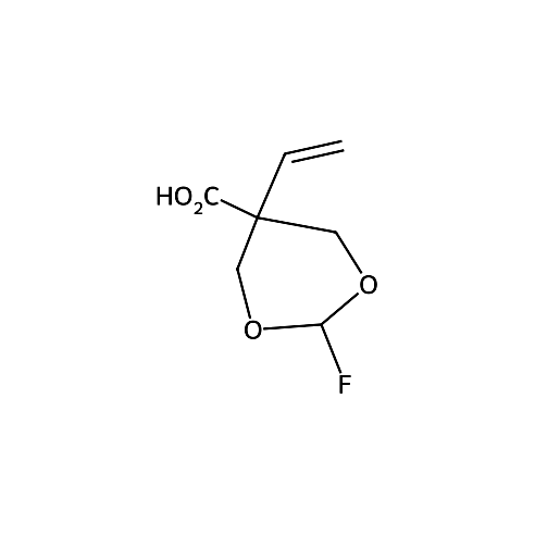 C=CC1(C(=O)O)COC(F)OC1